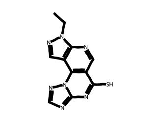 CCn1ncc2c1ncc1c(S)nc3ncnn3c12